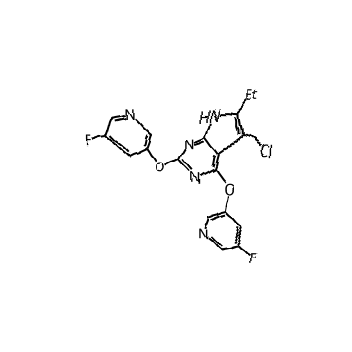 CCc1[nH]c2nc(Oc3cncc(F)c3)nc(Oc3cncc(F)c3)c2c1Cl